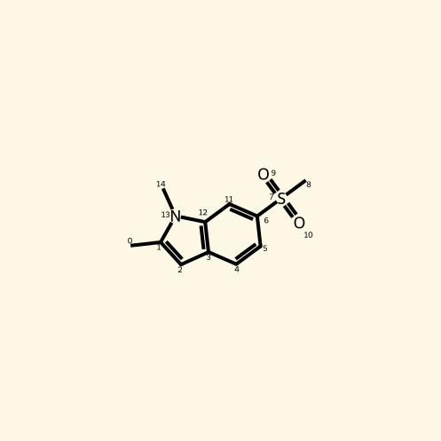 Cc1cc2ccc(S(C)(=O)=O)cc2n1C